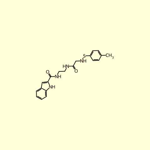 Cc1ccc(SNCC(=O)NCCNC(=O)c2cc3ccccc3[nH]2)cc1